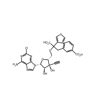 C#C[C@@]1(O)[C@@H](COC(Cc2cccc(C(=O)O)c2)(C(=O)O)c2cscn2)O[C@@H](n2cnc3c(N)nc(Cl)nc32)[C@@H]1O